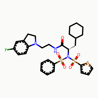 O=C(NCCN1CCc2cc(F)ccc21)[C@H](CC1CCCCC1)N(S(=O)(=O)c1ccccc1)S(=O)(=O)c1cccs1